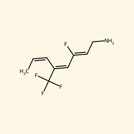 C\C=C/C(=C\C(F)=C\CN)C(F)(F)F